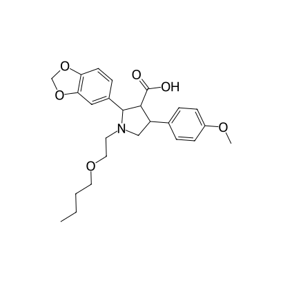 CCCCOCCN1CC(c2ccc(OC)cc2)C(C(=O)O)C1c1ccc2c(c1)OCO2